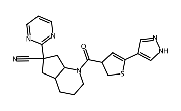 N#CC1(c2ncccn2)CC2CCCN(C(=O)C3C=C(c4cn[nH]c4)SC3)C2C1